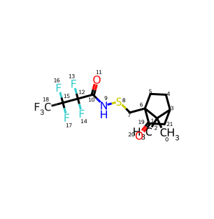 CC1(C)C2CCC1(CSNC(=O)C(F)(F)C(F)(F)C(F)(F)F)C(=O)C2